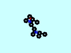 c1ccc(-c2ccccc2-n2c3ccc(-c4ccc5c(c4)c4ccccc4n5-c4ccc(-c5ccccc5)c5ccccc45)cc3c3c(-c4ccccc4)cccc32)cc1